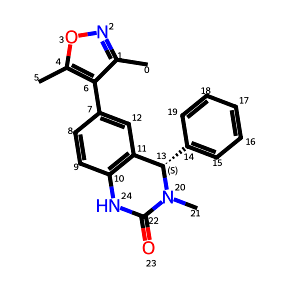 Cc1noc(C)c1-c1ccc2c(c1)[C@H](c1ccccc1)N(C)C(=O)N2